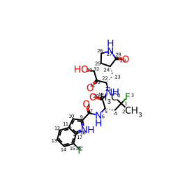 CC(C)(F)C[C@H](NC(=O)c1cc2cccc(F)c2[nH]1)C(=O)N[C@@H](C[C@@H]1CCNC1=O)C(=O)CO